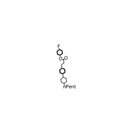 CCCCCC1CCC(c2ccc(CCC(=O)Oc3ccc(F)cc3)cc2)CC1